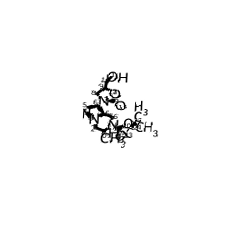 CC1Cn2ncc(N3CC(CO)OC3=O)c2CN1C(=O)OC(C)(C)C